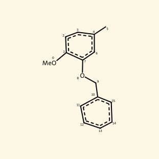 COc1ccc(C)cc1OCc1ccccc1